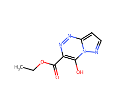 CCOC(=O)c1nnc2ccnn2c1O